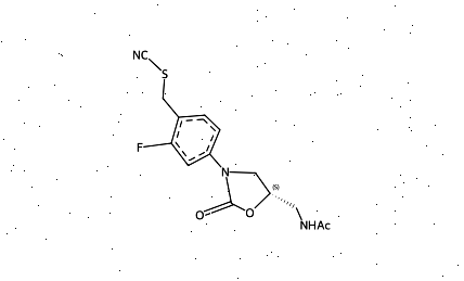 CC(=O)NC[C@H]1CN(c2ccc(CSC#N)c(F)c2)C(=O)O1